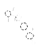 C[C@H]1OC(c2c(F)cccc2F)=N[C@@H]1c1ccc(-c2ccc(C(F)(F)F)cc2F)cc1